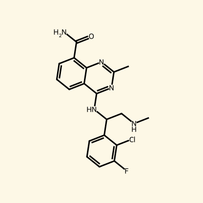 CNCC(Nc1nc(C)nc2c(C(N)=O)cccc12)c1cccc(F)c1Cl